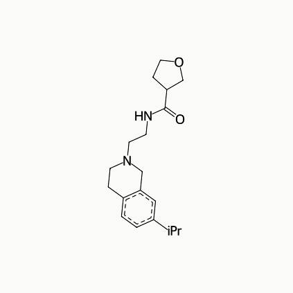 CC(C)c1ccc2c(c1)CN(CCNC(=O)C1CCOC1)CC2